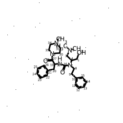 CN(C)CC(CO)N(CCc1ccccc1)C(=O)NC(Cc1ccccc1)C(=O)N1CCN(C)CC1